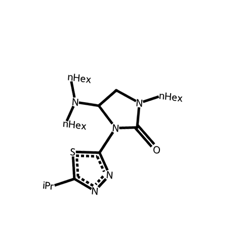 CCCCCCN1CC(N(CCCCCC)CCCCCC)N(c2nnc(C(C)C)s2)C1=O